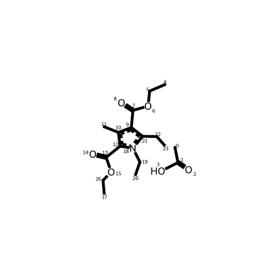 CC(=O)O.CCOC(=O)c1c(C)c(C(=O)OCC)n(CC)c1CC